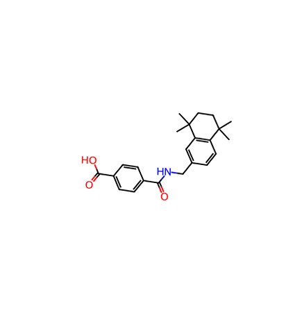 CC1(C)CCC(C)(C)c2cc(CNC(=O)c3ccc(C(=O)O)cc3)ccc21